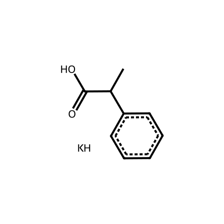 CC(C(=O)O)c1ccccc1.[KH]